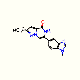 Cn1cnc2cc(-c3cn4nc(C(=O)O)cc4c(=O)[nH]3)ccc21